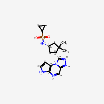 CC1(C)C[C@@H](NS(=O)(=O)C2CC2)C[C@H]1c1nnc2cnc3[nH]ccc3n12